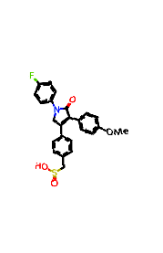 COc1ccc(C2=C(c3ccc(CS(=O)O)cc3)CN(c3ccc(F)cc3)C2=O)cc1